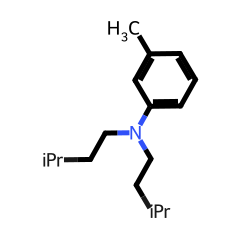 Cc1cccc(N(CCC(C)C)CCC(C)C)c1